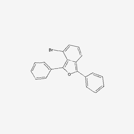 Brc1cccc2c(-c3ccccc3)oc(-c3ccccc3)c12